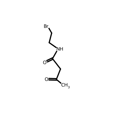 CC(=O)CC(=O)NCCBr